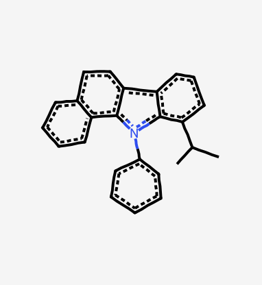 CC(C)c1cccc2c3ccc4ccccc4c3n(-c3ccccc3)c12